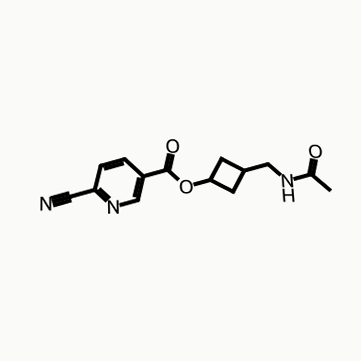 CC(=O)NCC1CC(OC(=O)c2ccc(C#N)nc2)C1